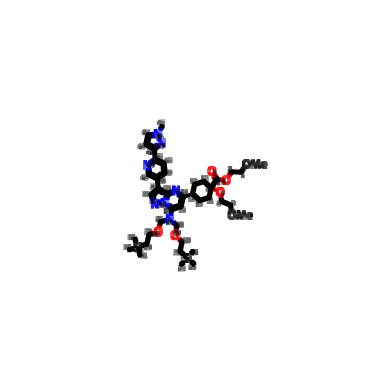 COCCOC(=O)[C@]1(OCCOC)CC[C@@H](c2cc(N(COCC[Si](C)(C)C)COCC[Si](C)(C)C)n3ncc(-c4ccc(-c5ccn(C)n5)nc4)c3n2)CC1